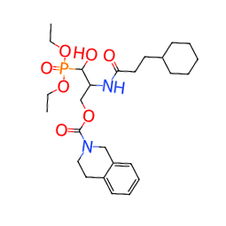 CCOP(=O)(OCC)C(O)C(COC(=O)N1CCc2ccccc2C1)NC(=O)CCC1CCCCC1